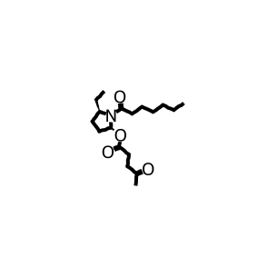 CCCCCCC(=O)N1[C@H](CC)CC[C@H]1OC(=O)CCC(C)=O